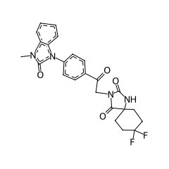 Cn1c(=O)n(-c2ccc(C(=O)CN3C(=O)NC4(CCC(F)(F)CC4)C3=O)cc2)c2ccccc21